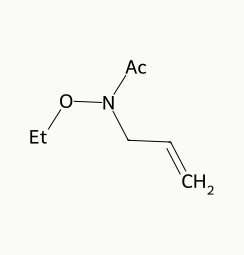 C=CCN(OCC)C(C)=O